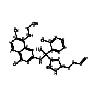 BC(Nc1cc(Cl)c2ncc(C#N)c(NCC(C)(C)C)c2c1)(C1=CN(CCC=C)NN1)c1ccccc1Cl